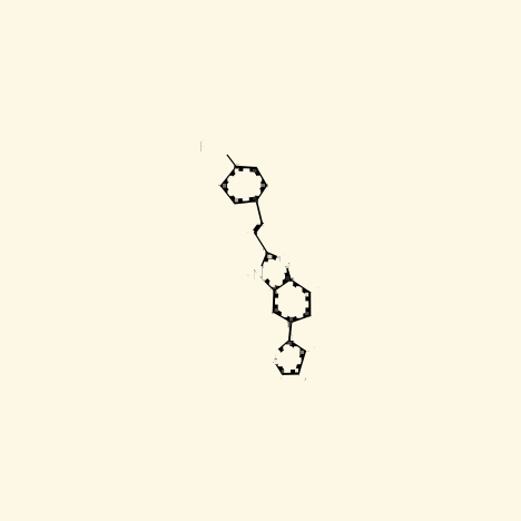 FC(F)(F)c1ccc(C=Cc2nc3cc(-c4ccco4)ccc3o2)cc1